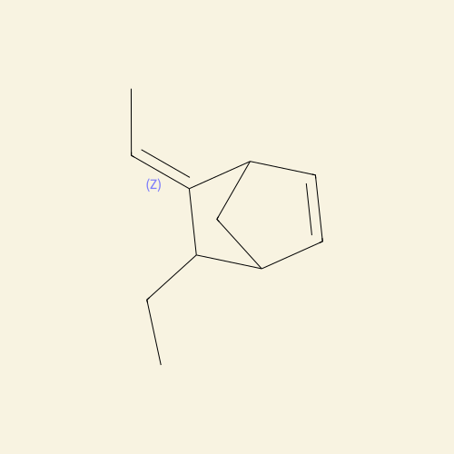 C/C=C1\C2C=CC(C2)C1CC